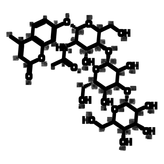 CC(=O)NC1[C@H](Oc2ccc3c(C)cc(=O)oc3c2)OC(CO)[C@@H](O[C@@H]2O[C@@H](CO)[C@H](O)C(O[C@H]3OC(CO)[C@H](O)[C@H](O)C3O)C2O)[C@@H]1O